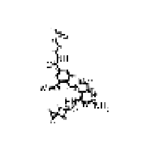 COc1cc(C(=O)NCCCN(C)C)ccc1Cn1ncc2nc(N)nc(NCC3CC4(CC4)C3)c21